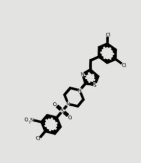 O=[N+]([O-])c1cc(S(=O)(=O)N2CCN(c3nc(Cc4cc(Cl)cc(Cl)c4)cs3)CC2)ccc1Cl